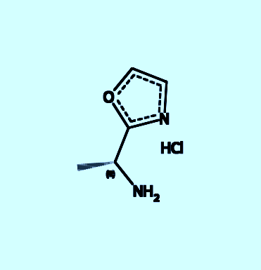 C[C@@H](N)c1ncco1.Cl